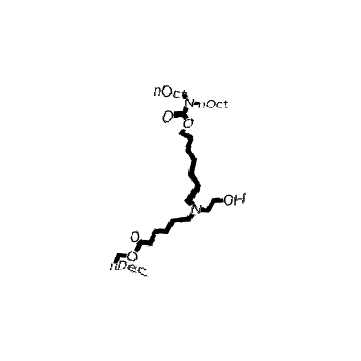 CCCCCCCCCCCOC(=O)CCCCCN(CCO)CCCCCCCOC(=O)N(CCCCCCCC)CCCCCCCC